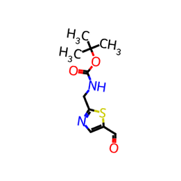 CC(C)(C)OC(=O)NCc1ncc(C=O)s1